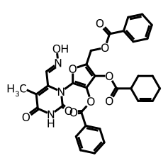 Cc1c(/C=N/O)n(-c2oc(COC(=O)c3ccccc3)c(OC(=O)C3C=CCCC3)c2OC(=O)c2ccccc2)c(=O)[nH]c1=O